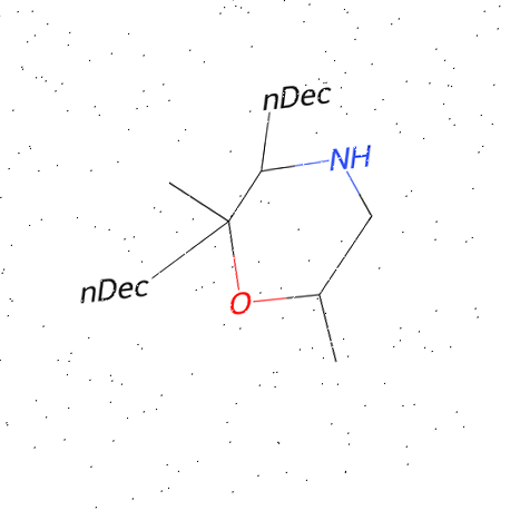 CCCCCCCCCCC1NCC(C)OC1(C)CCCCCCCCCC